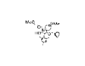 COCCOCN1C(O)C(c2c(C)cc(C)cc2C)=C(OCc2ccccc2)C12CCN(OC)CC2